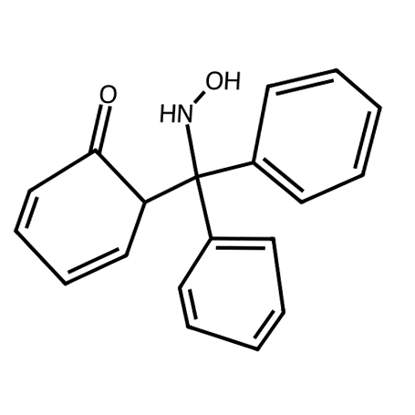 O=C1C=CC=CC1C(NO)(c1ccccc1)c1ccccc1